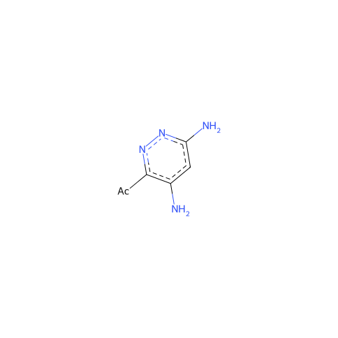 CC(=O)c1nnc(N)cc1N